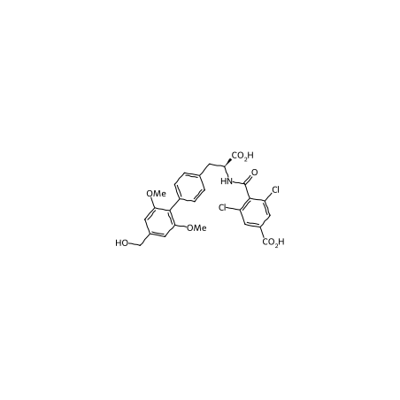 COc1cc(CO)cc(OC)c1-c1ccc(C[C@H](NC(=O)c2c(Cl)cc(C(=O)O)cc2Cl)C(=O)O)cc1